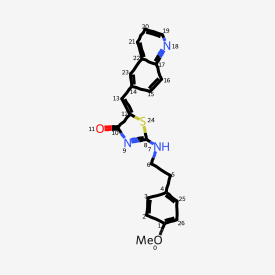 COc1ccc(CCNC2=NC(=O)/C(=C/c3ccc4ncccc4c3)S2)cc1